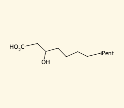 CCCC(C)CCCCC(O)CC(=O)O